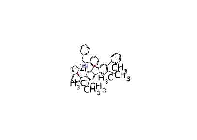 CC(C)(C)c1cc2c(cc1-c1ccccc1)Cc1c-2cc(C(C)(C)C)c(-c2ccccc2)[c]1/[Zr]([C]1=CC=CC1)=[C](/Cc1ccccc1)c1ccccc1